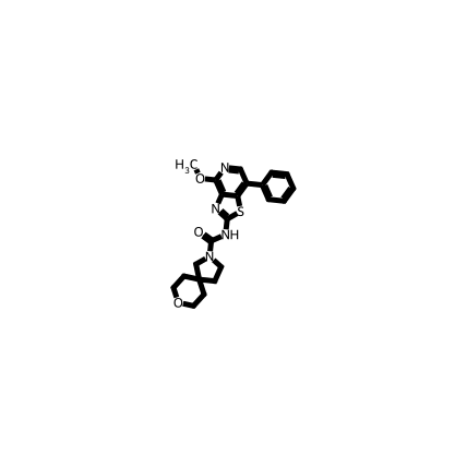 COc1ncc(-c2ccccc2)c2sc(NC(=O)N3CCC4(CCOCC4)C3)nc12